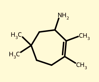 CC1=C(C)C(N)CC(C)(C)CC1